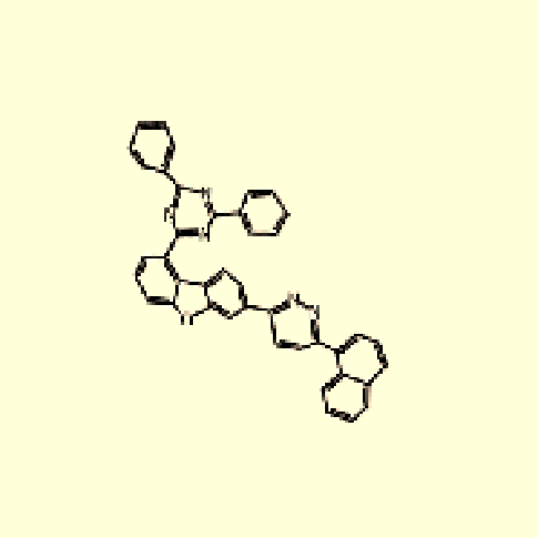 c1ccc(-c2nc(-c3ccccc3)nc(-c3cccc4oc5cc(-c6ccc(-c7cccc8ccccc78)nn6)ccc5c34)n2)cc1